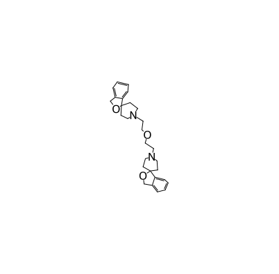 c1ccc2c(c1)COC21CCN(CCOCCN2CCC3(CC2)OCc2ccccc23)CC1